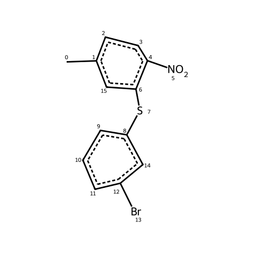 Cc1ccc([N+](=O)[O-])c(Sc2cccc(Br)c2)c1